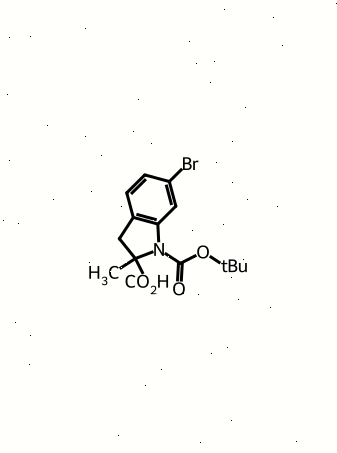 CC(C)(C)OC(=O)N1c2cc(Br)ccc2CC1(C)C(=O)O